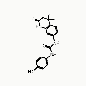 CC1(C)CC(=O)Nc2cc(NC(=O)Nc3ccc(C#N)cc3)ccc21